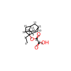 CCC1(OC(=O)C(=O)O)C2CC3CC(C2)CC1C3